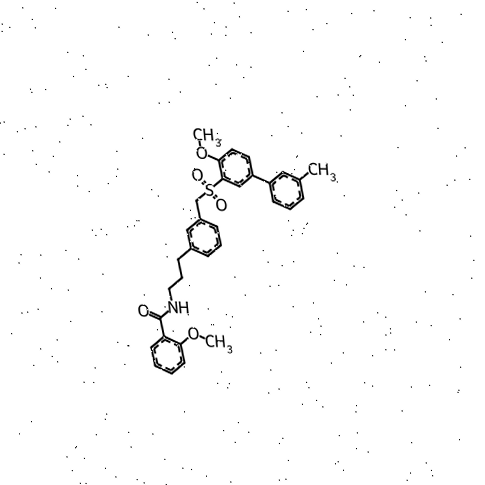 COc1ccccc1C(=O)NCCCc1cccc(CS(=O)(=O)c2cc(-c3cccc(C)c3)ccc2OC)c1